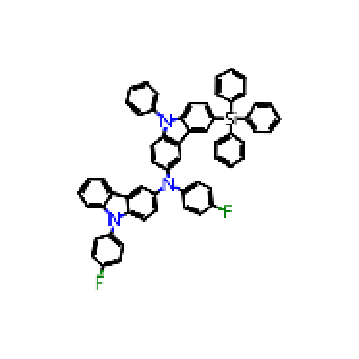 Fc1ccc(N(c2ccc3c(c2)c2ccccc2n3-c2ccc(F)cc2)c2ccc3c(c2)c2cc([Si](c4ccccc4)(c4ccccc4)c4ccccc4)ccc2n3-c2ccccc2)cc1